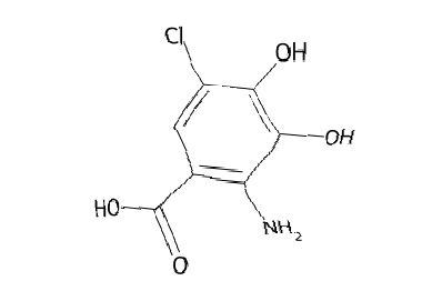 Nc1c(C(=O)O)cc(Cl)c(O)c1O